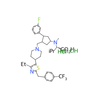 CCc1nc(Cc2ccc(C(F)(F)F)cc2)sc1C1CCN(CC2CC(N(C)[C@@H](C(=O)O)C(C)C)CC2c2cccc(F)c2)CC1.Cl.Cl.Cl